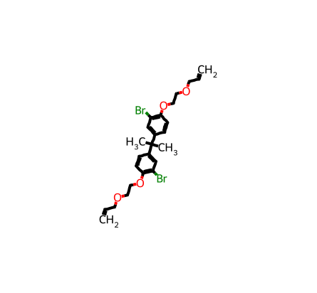 C=CCOCCOc1ccc(C(C)(C)c2ccc(OCCOCC=C)c(Br)c2)cc1Br